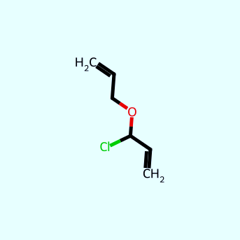 C=CCOC(Cl)C=C